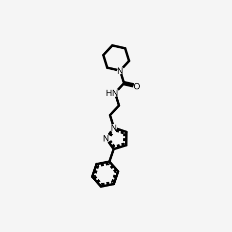 O=C(NCCn1ccc(-c2ccccc2)n1)N1CCCCC1